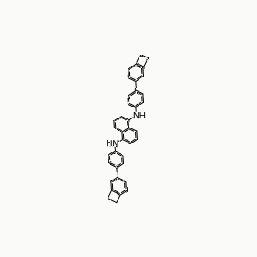 c1cc(Nc2ccc(-c3ccc4c(c3)CC4)cc2)c2cccc(Nc3ccc(-c4ccc5c(c4)CC5)cc3)c2c1